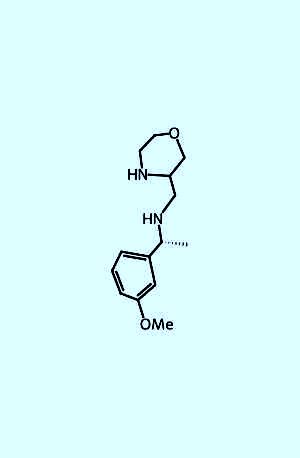 COc1cccc([C@@H](C)NCC2COCCN2)c1